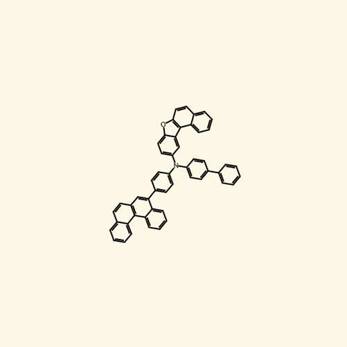 c1ccc(-c2ccc(N(c3ccc(-c4cc5ccc6ccccc6c5c5ccccc45)cc3)c3ccc4oc5ccc6ccccc6c5c4c3)cc2)cc1